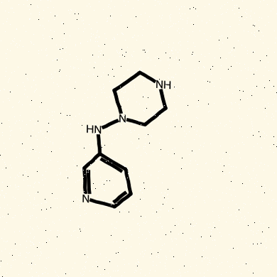 c1cncc(NN2CCNCC2)c1